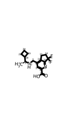 C[C@H](NCc1cc(C(=O)O)nc2c1CCC2(F)F)C1CCC1